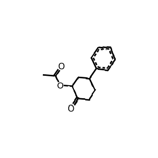 CC(=O)OC1CC(c2ccccc2)CCC1=O